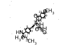 CCCN(C)C(=N)c1ccc(C#C[C@H](CN2Cc3ccc(OC)cc3C2=O)NC(=O)NC=O)cc1